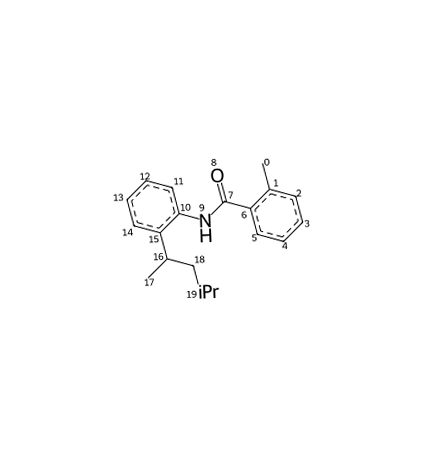 Cc1ccccc1C(=O)Nc1ccccc1C(C)CC(C)C